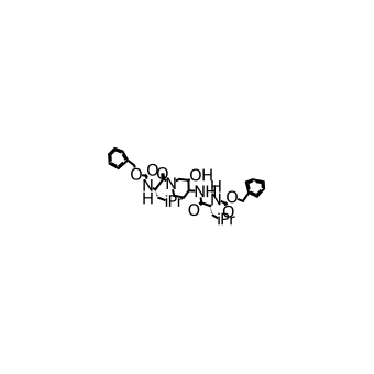 CC(C)C[C@H](NC(=O)OCc1ccccc1)C(=O)N1CCC(NC(=O)[C@@H](CC(C)C)NC(=O)OCc2ccccc2)C(O)C1